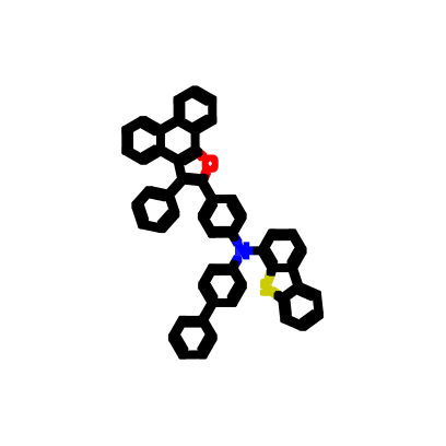 c1ccc(-c2ccc(N(c3ccc(-c4oc5c6ccccc6c6ccccc6c5c4-c4ccccc4)cc3)c3cccc4c3sc3ccccc34)cc2)cc1